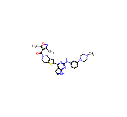 Cc1noc(C)c1C(=O)N1CCc2sc(-c3nc(Nc4cccc(N5CCN(C)CC5)c4)nc4[nH]ccc34)cc2C1